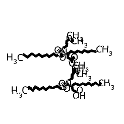 CCCCCCCCCCCS(=O)(=O)N(CCCN(C)C)C(CCCCCCCCC)CC(=O)O.CCCCCCCCCCCS(=O)(=O)N(CCCN(C)C)C(CCCCCCCCC)CC(=O)OC